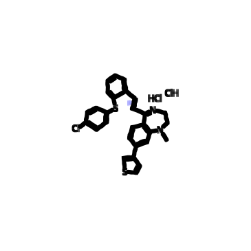 CN1CCN=C(/C=C/c2ccccc2Sc2ccc(Cl)cc2)c2ccc(-c3ccsc3)cc21.Cl.Cl